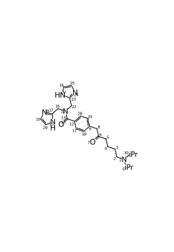 CC(C)N(CCCCC(=O)Cc1ccc(C(=O)N(Cc2ncc[nH]2)Cc2ncc[nH]2)cc1)C(C)C